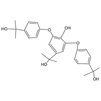 CC(C)(O)c1ccc(Oc2cc(C(C)(C)O)cc(Oc3ccc(C(C)(C)O)cc3)c2O)cc1